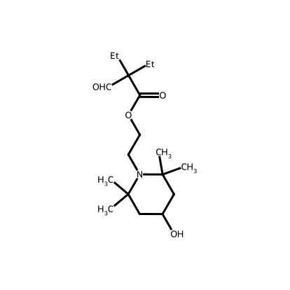 CCC(C=O)(CC)C(=O)OCCN1C(C)(C)CC(O)CC1(C)C